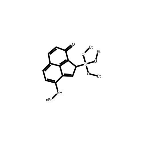 CCCNc1ccc2c3c1=CC([Si](OCC)(OCC)OCC)C=3C(=O)C=C2